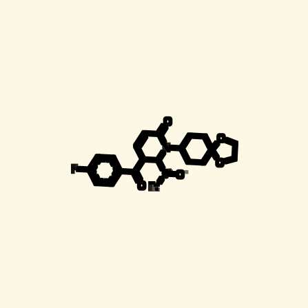 CC[S+]([O-])C1C(C(=O)c2ccc(F)cc2)C=CC(=O)N1C1CCC2(CC1)OCCO2